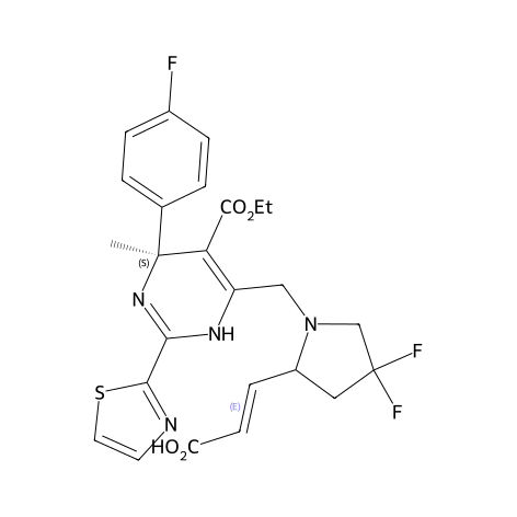 CCOC(=O)C1=C(CN2CC(F)(F)CC2/C=C/C(=O)O)NC(c2nccs2)=N[C@@]1(C)c1ccc(F)cc1